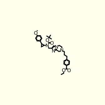 CCOC(=O)c1ccc(CCCN2CCn3cc(CN(C(=O)OC(C)(C)C)C4CC4c4ccc(OC)cc4)nc3C2)cc1